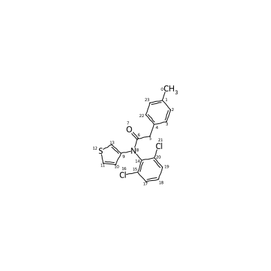 Cc1ccc(CC(=O)N(c2ccsc2)c2c(Cl)cccc2Cl)cc1